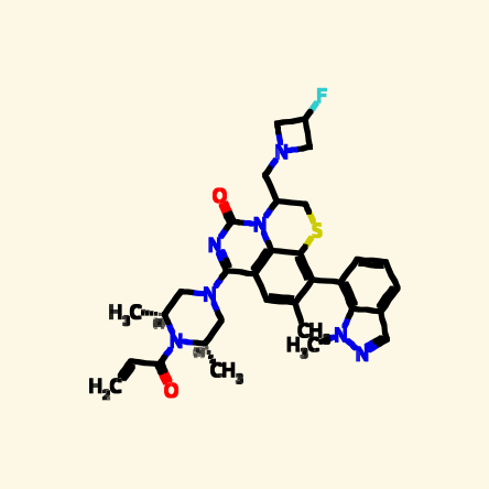 C=CC(=O)N1[C@H](C)CN(c2nc(=O)n3c4c(c(-c5cccc6cnn(C)c56)c(C)cc24)SCC3CN2CC(F)C2)C[C@@H]1C